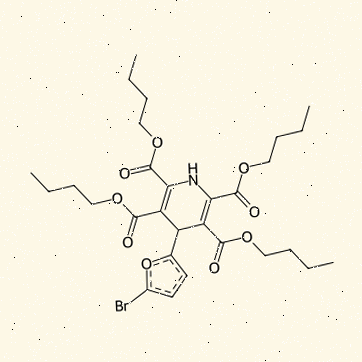 CCCCOC(=O)C1=C(C(=O)OCCCC)C(c2ccc(Br)o2)C(C(=O)OCCCC)=C(C(=O)OCCCC)N1